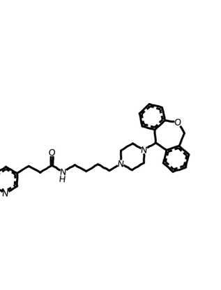 O=C(CCc1cccnc1)NCCCCN1CCN(C2c3ccccc3COc3ccccc32)CC1